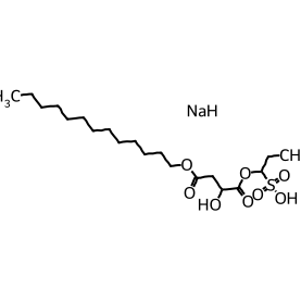 CCCCCCCCCCCCCOC(=O)CC(O)C(=O)OC(CC)S(=O)(=O)O.[NaH]